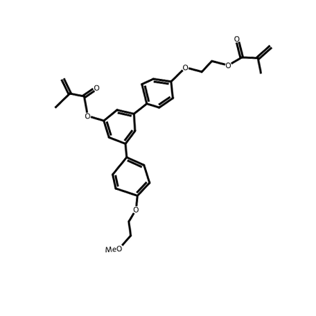 C=C(C)C(=O)OCCOc1ccc(-c2cc(OC(=O)C(=C)C)cc(-c3ccc(OCCOC)cc3)c2)cc1